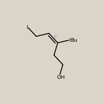 CC(C)(C)/C(=C/CI)CCO